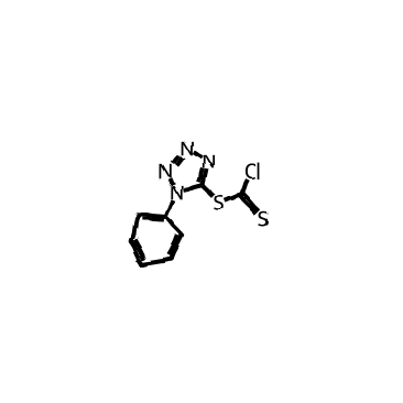 S=C(Cl)Sc1nnnn1-c1ccccc1